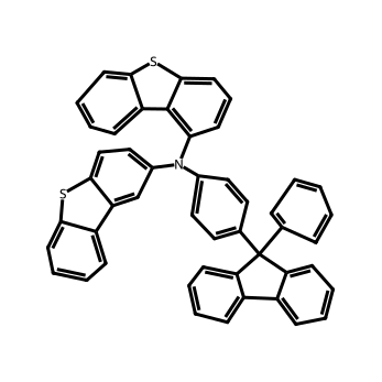 c1ccc(C2(c3ccc(N(c4ccc5sc6ccccc6c5c4)c4cccc5sc6ccccc6c45)cc3)c3ccccc3-c3ccccc32)cc1